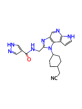 N#CCC1CCC(n2c(CNC(=O)c3cn[nH]c3)nc3cnc4[nH]ccc4c32)CC1